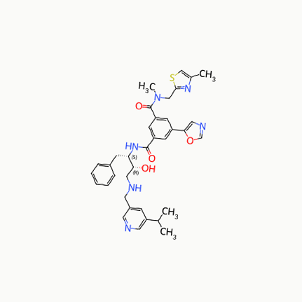 Cc1csc(CN(C)C(=O)c2cc(C(=O)N[C@@H](Cc3ccccc3)[C@H](O)CNCc3cncc(C(C)C)c3)cc(-c3cnco3)c2)n1